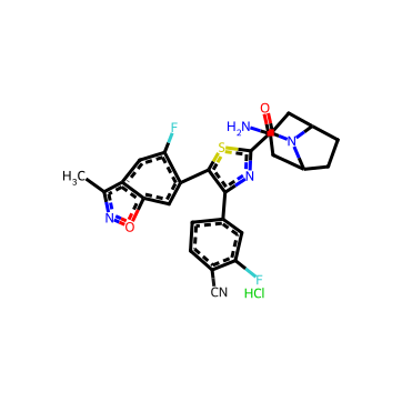 Cc1noc2cc(-c3sc(C(=O)N4C5CCC4CC(N)C5)nc3-c3ccc(C#N)c(F)c3)c(F)cc12.Cl